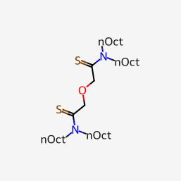 CCCCCCCCN(CCCCCCCC)C(=S)COCC(=S)N(CCCCCCCC)CCCCCCCC